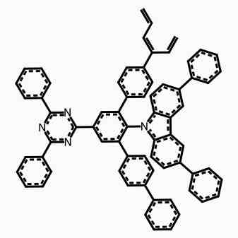 C=C/C=C(\C=C)c1ccc(-c2cc(-c3nc(-c4ccccc4)nc(-c4ccccc4)n3)cc(-c3ccc(-c4ccccc4)cc3)c2-n2c3ccc(-c4ccccc4)cc3c3cc(-c4ccccc4)ccc32)cc1